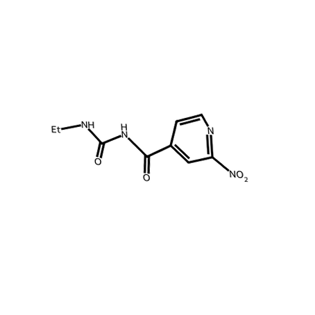 CCNC(=O)NC(=O)c1ccnc([N+](=O)[O-])c1